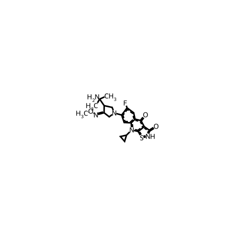 CON=C1CN(c2cc3c(cc2F)c(=O)c2c(=O)[nH]sc2n3C2CC2)CC1C(C)(C)N